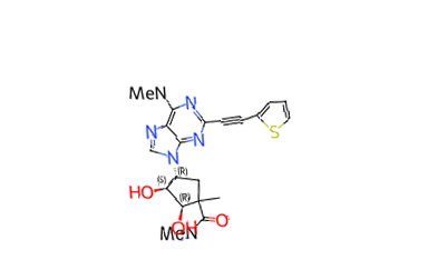 CNC(=O)C1(C)C[C@@H](n2cnc3c(NC)nc(C#Cc4cccs4)nc32)[C@H](O)[C@@H]1O